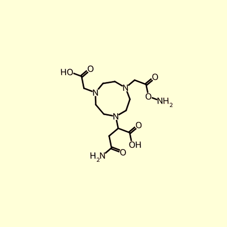 NOC(=O)CN1CCN(CC(=O)O)CCN(C(CC(N)=O)C(=O)O)CC1